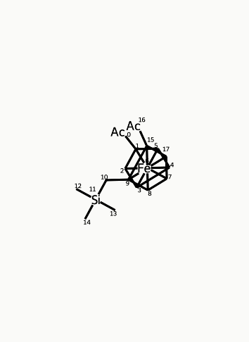 CC(=O)[C]12[CH]3[CH]4[CH]5[CH]1[Fe]45321678[CH]2[CH]1[C]6(C[Si](C)(C)C)[C]7(C(C)=O)[CH]28